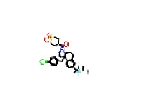 CC(F)(c1ccc2c(c1)CCC1N(C(=O)C3CCS(=O)(=O)CC3)CCC21Cc1ccc(Cl)cc1)C(F)(F)F